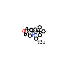 C=C/C(=C\C1=C(C)c2ccccc2C1(c1ccccc1)c1ccccc1)N(c1ccc(C(C)(C)C)cc1)c1cccc2c1-c1ccccc1C21c2ccccc2Oc2ccccc21